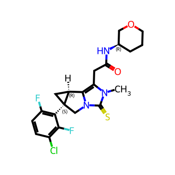 Cn1c(CC(=O)N[C@@H]2CCCOC2)c2n(c1=S)C[C@@]1(c3c(F)ccc(Cl)c3F)C[C@@H]21